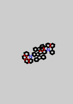 c1ccc(-c2ccccc2N(c2ccc3c(c2)C2(C4=C3C3(c5cc(N(c6ccccc6-c6ccccc6)c6ccccc6-c6ccccc6)ccc54)c4ccccc4-c4ccccc43)c3ccccc3-c3ccccc32)c2ccccc2-c2ccccc2)cc1